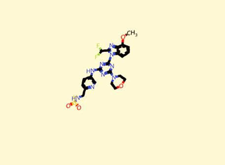 COc1cccc2c1nc(C(F)F)n2-c1nc(Nc2ccc(CN[SH](=O)=O)nc2)nc(N2CCOCC2)n1